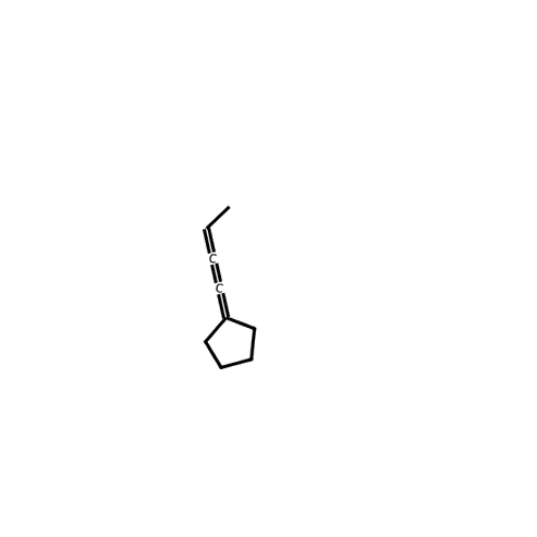 CC=C=C=C1CCCC1